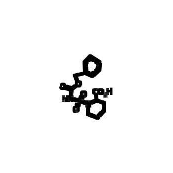 O=C(NS(=O)(=O)N1CCCCC1C(=O)O)OCc1ccccc1